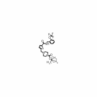 CC(C)(C)OC(=O)N1CCN(Cc2ccc(C(=O)NCc3ccccc3OC(F)(F)F)s2)CC1